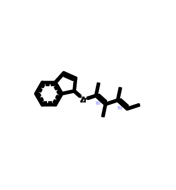 C/C=C(C)/C(C)=[C](\C)[Zr][CH]1C=Cc2ccccc21